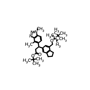 Cc1c(C(CC(=O)OC(C)(C)C)c2cc3c(c(CO[Si](C)(C)C(C)(C)C)c2)CCC3)ccc2c1nnn2C